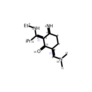 CCN/C(=C1\C(=N)CC/C(=C\N(C)C)C1=O)C(C)C